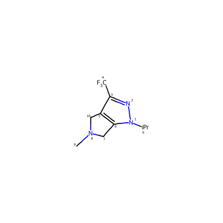 CC(C)n1nc(C(F)(F)F)c2c1CN(C)C2